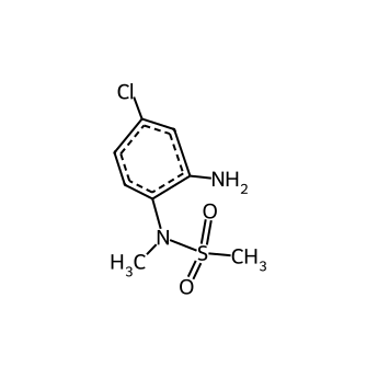 CN(c1ccc(Cl)cc1N)S(C)(=O)=O